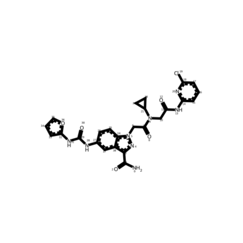 NC(=O)c1nn(CC(=O)N(CC(=O)Nc2cccc(Cl)n2)C2CC2)c2ccc(NC(=O)Nc3ccco3)cc12